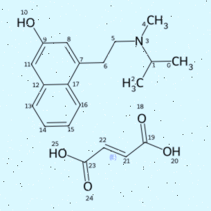 CC(C)N(C)CCc1cc(O)cc2ccccc12.O=C(O)/C=C/C(=O)O